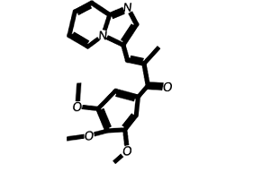 COc1cc(C(=O)/C(C)=C/c2cnc3ccccn23)cc(OC)c1OC